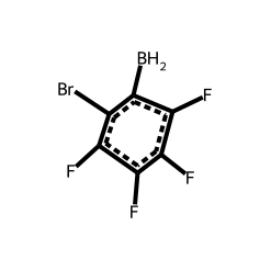 Bc1c(F)c(F)c(F)c(F)c1Br